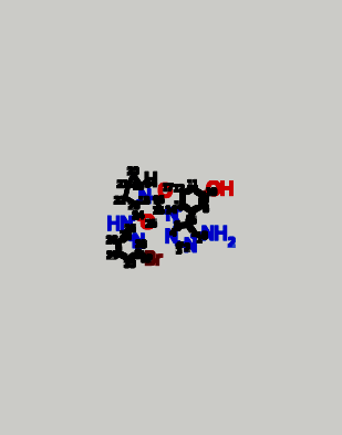 Nc1ncnc2c1c1cc(O)ccc1n2CC(=O)N1[C@@H]2CC2C[C@H]1C(=O)Nc1cccc(Br)n1